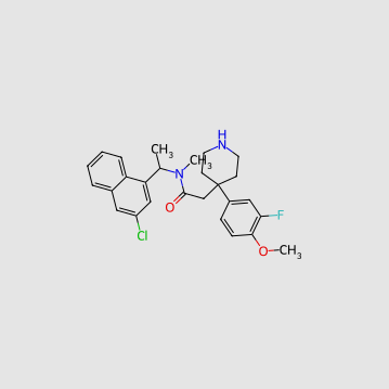 COc1ccc(C2(CC(=O)N(C)C(C)c3cc(Cl)cc4ccccc34)CCNCC2)cc1F